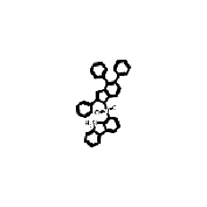 [Cl][Zr]([Cl])([c]1cccc2c1[SiH2]c1ccccc1-2)[CH]1C(c2ccccc2)=Cc2c1ccc(-c1ccccc1)c2-c1ccccc1